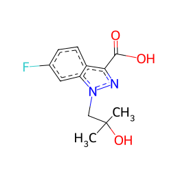 CC(C)(O)Cn1nc(C(=O)O)c2ccc(F)cc21